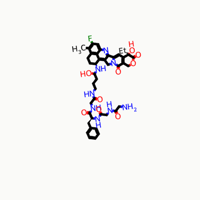 CC[C@@]1(O)C(=O)OCc2c1cc1n(c2=O)Cc2c-1nc1cc(F)c(C)c3c1c2[C@@H](NC(O)CCCNC(=O)CNC(=O)[C@H](Cc1ccccc1)NC(=O)CNC(=O)CN)CC3